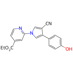 CCOC(=O)c1ccnc(-n2cc(C#N)c(-c3ccc(O)cc3)c2)c1